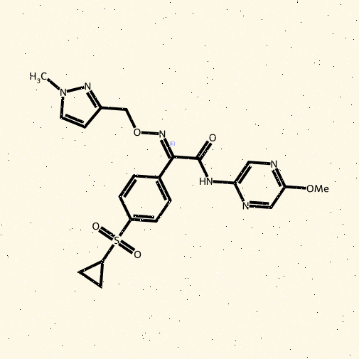 COc1cnc(NC(=O)/C(=N/OCc2ccn(C)n2)c2ccc(S(=O)(=O)C3CC3)cc2)cn1